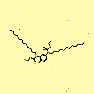 CCCCCCCCCCCCN(C(=O)OCC)c1ccc(C)c(N(CCCCCCCCCCCC)C(=O)OCC)c1